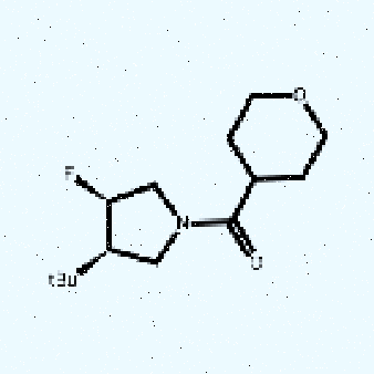 CC(C)(C)[C@@H]1CN(C(=O)C2CCOCC2)C[C@@H]1F